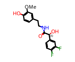 COc1cc(CCNC(=O)[C@@H](O)c2ccc(F)c(F)c2)ccc1O